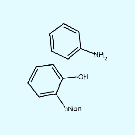 CCCCCCCCCc1ccccc1O.Nc1ccccc1